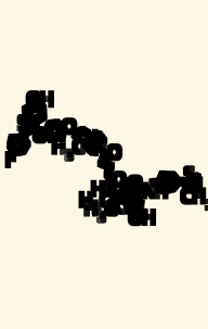 Cc1ncsc1-c1ccc(CNC(=O)[C@@H]2C[C@@H](O)CN2C(=O)[C@@H](NC(=O)CCCC(=O)N2CCN(CCOc3ccc(Oc4c(-c5ccc(F)cc5)sc5cc(O)ccc45)cc3)[C@@H](C)C2)C(C)(C)C)cc1